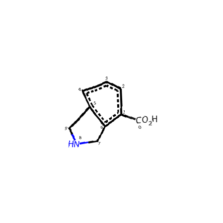 O=C(O)c1cccc2c1CNC2